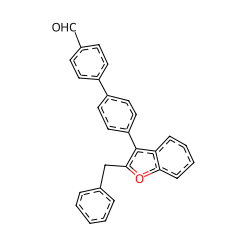 O=Cc1ccc(-c2ccc(-c3c(Cc4ccccc4)oc4ccccc34)cc2)cc1